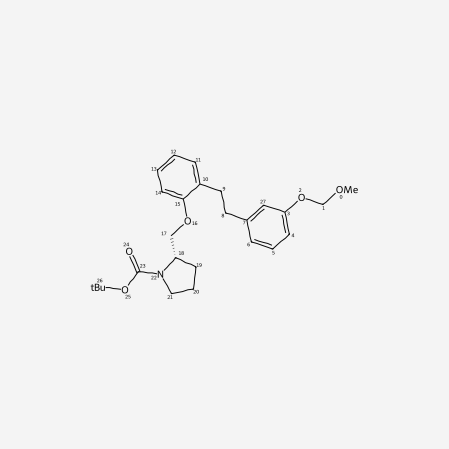 COCOc1cccc(CCc2ccccc2OC[C@@H]2CCCN2C(=O)OC(C)(C)C)c1